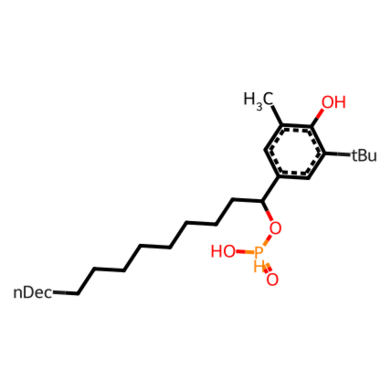 CCCCCCCCCCCCCCCCCCC(O[PH](=O)O)c1cc(C)c(O)c(C(C)(C)C)c1